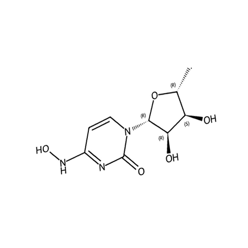 [CH2][C@H]1O[C@@H](n2ccc(NO)nc2=O)[C@H](O)[C@@H]1O